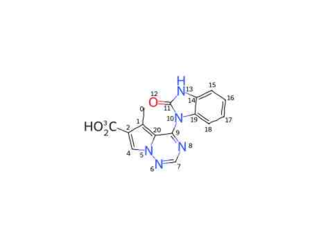 Cc1c(C(=O)O)cn2ncnc(-n3c(=O)[nH]c4ccccc43)c12